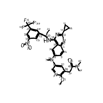 COc1ncc(N(C)c2ccc3nc(C4CC4)nc(N[C@H](C)c4cc([N+](=O)[O-])cc(C(F)(F)F)c4)c3c2)cc1CC(=O)N(C)C